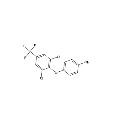 Oc1ccc(Oc2c(Cl)cc(C(F)(F)F)cc2Cl)cc1